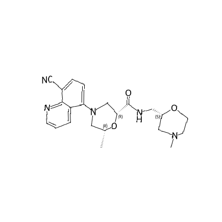 C[C@@H]1CN(c2ccc(C#N)c3ncccc23)C[C@H](C(=O)NC[C@H]2CN(C)CCO2)O1